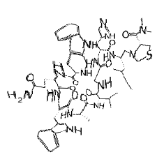 CC(C)C[C@@H](CN1CSC[C@H]1C(=O)N(C)C)NC(=O)[C@H](Cc1cnc[nH]1)NC(=O)CNC(=O)[C@@H](NC(=O)[C@H](C)NC(=O)[C@H](Cc1c[nH]c2ccccc12)NC(=O)[C@H](CCC(N)=O)NC(=O)[C@H]1Cc2c([nH]c3ccccc23)CN1)C(C)C